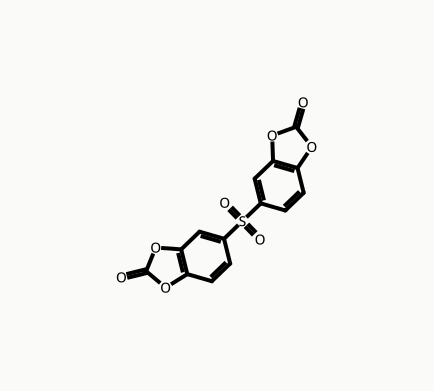 O=c1oc2ccc(S(=O)(=O)c3ccc4oc(=O)oc4c3)cc2o1